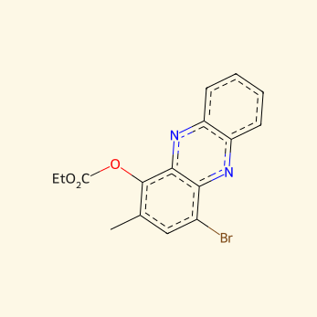 CCOC(=O)Oc1c(C)cc(Br)c2nc3ccccc3nc12